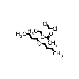 CCCCOCCCC.CCOC(C)=O.ClCCl